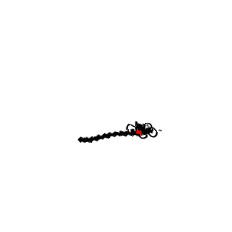 CCCCCCCCCCCCCCCCCCCC(O)CCOC(CC(=O)[O-])C[N+](C)(C)C